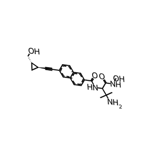 CC(C)(N)C(NC(=O)c1ccc2cc(C#C[C@H]3C[C@@H]3CO)ccc2c1)C(=O)NO